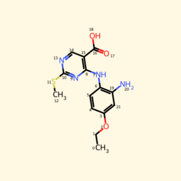 CCOc1ccc(Nc2nc(SC)ncc2C(=O)O)c(N)c1